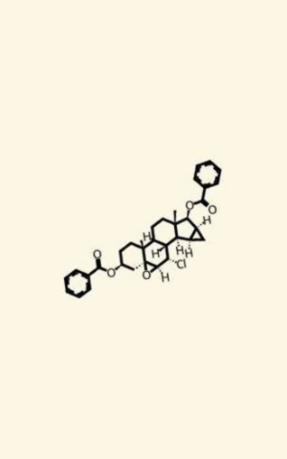 C[C@]12CC[C@H]3[C@@H]([C@H](Cl)[C@H]4O[C@]45C[C@@H](OC(=O)c4ccccc4)CC[C@]35C)[C@@H]1[C@@H]1C[C@@H]1[C@@H]2OC(=O)c1ccccc1